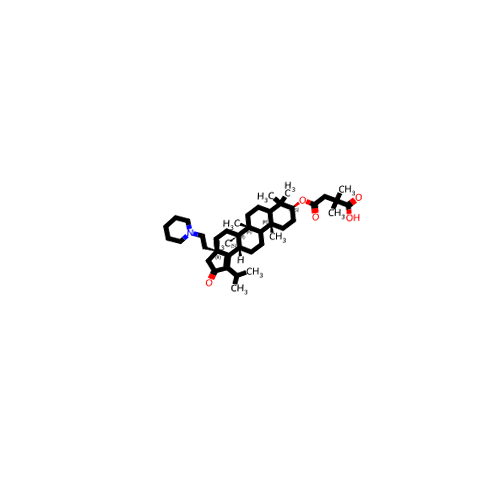 CC(C)C1=C2[C@H]3CCC4[C@@]5(C)CC[C@H](OC(=O)CC(C)(C)C(=O)O)C(C)(C)C5CC[C@@]4(C)[C@]3(C)CC[C@@]2(CCN2CCCCC2)CC1=O